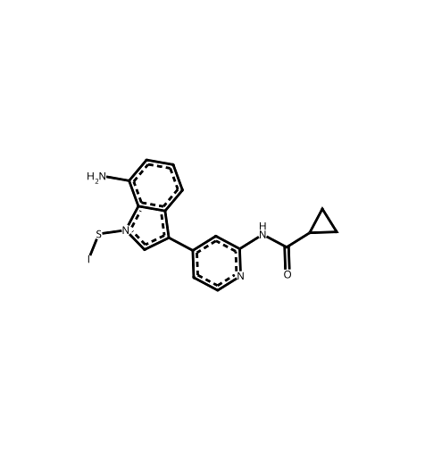 Nc1cccc2c(-c3ccnc(NC(=O)C4CC4)c3)cn(SI)c12